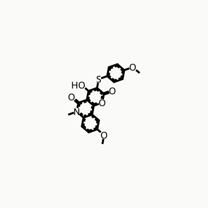 COc1ccc(Sc2c(O)c3c(=O)n(C)c4ccc(OC)cc4c3oc2=O)cc1